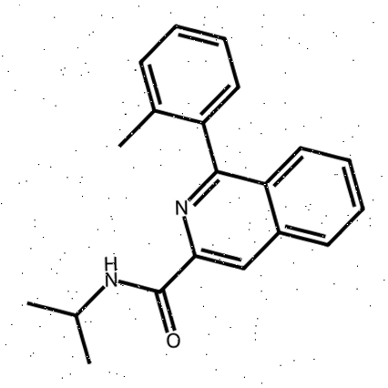 Cc1ccccc1-c1nc(C(=O)NC(C)C)cc2ccccc12